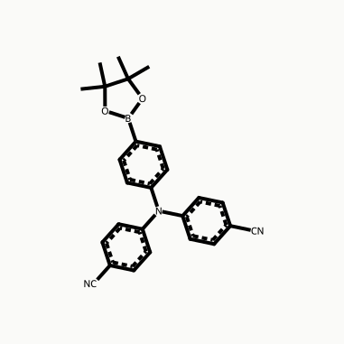 CC1(C)OB(c2ccc(N(c3ccc(C#N)cc3)c3ccc(C#N)cc3)cc2)OC1(C)C